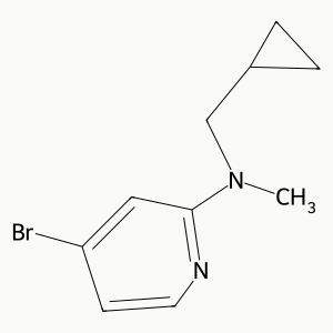 CN(CC1CC1)c1cc(Br)ccn1